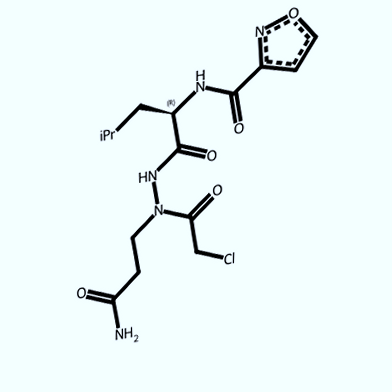 CC(C)C[C@@H](NC(=O)c1ccon1)C(=O)NN(CCC(N)=O)C(=O)CCl